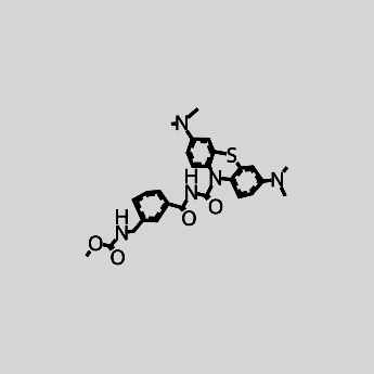 COC(=O)NCc1cccc(C(=O)NC(=O)N2c3ccc(N(C)C)cc3Sc3cc(N(C)C)ccc32)c1